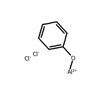 [Al+2][O]c1ccccc1.[Cl-].[Cl-]